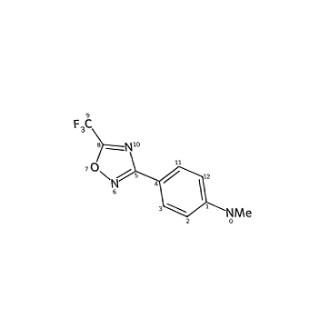 CNc1ccc(-c2noc(C(F)(F)F)n2)cc1